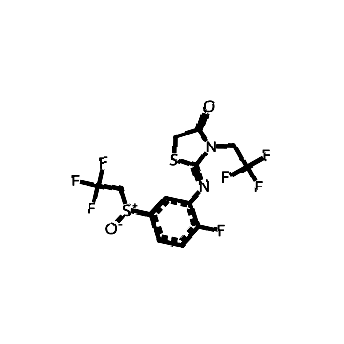 O=C1CS/C(=N\c2cc([S+]([O-])CC(F)(F)F)ccc2F)N1CC(F)(F)F